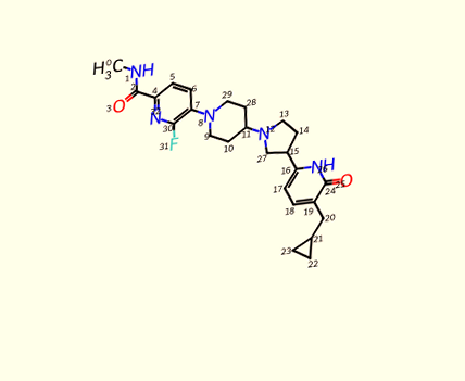 CNC(=O)c1ccc(N2CCC(N3CCC(c4ccc(CC5CC5)c(=O)[nH]4)C3)CC2)c(F)n1